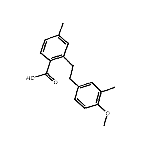 COc1ccc(CCc2cc(C)ccc2C(=O)O)cc1C